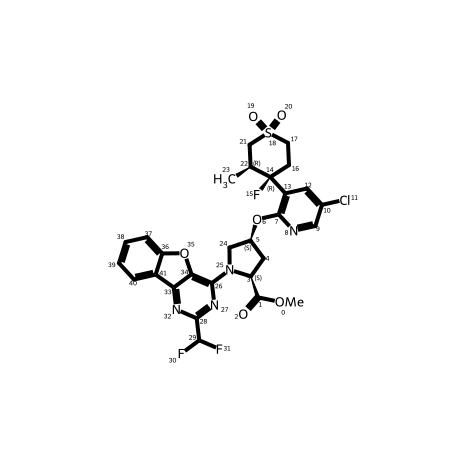 COC(=O)[C@@H]1C[C@H](Oc2ncc(Cl)cc2[C@@]2(F)CCS(=O)(=O)C[C@@H]2C)CN1c1nc(C(F)F)nc2c1oc1ccccc12